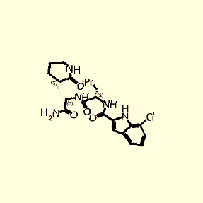 CC(C)C[C@H](NC(=O)c1cc2cccc(Cl)c2[nH]1)C(=O)N[C@@H](C[C@@H]1CCCNC1=O)C(N)=O